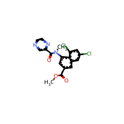 COC(=O)c1cc(N(C)C(=O)c2cnccn2)c2c(Cl)cc(Cl)cc2c1